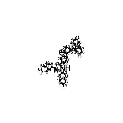 c1ccc2cc(C3=NC(c4ccc5ccccc5c4)N[C@H](c4ccc5c(c4)oc4ccc(-n6c7ccccc7c7ccccc76)cc45)C3)ccc2c1